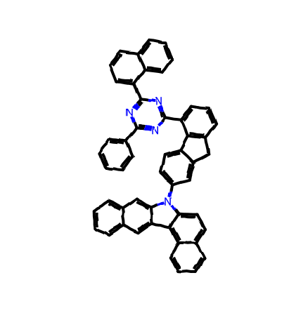 c1ccc(-c2nc(-c3cccc4c3-c3ccc(-n5c6cc7ccccc7cc6c6c7ccccc7ccc65)cc3C4)nc(-c3cccc4ccccc34)n2)cc1